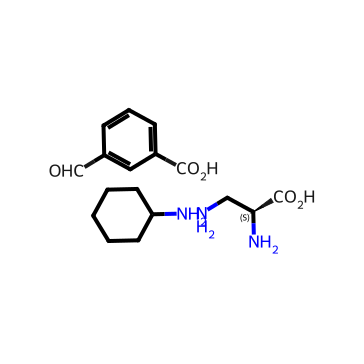 NC1CCCCC1.NC[C@H](N)C(=O)O.O=Cc1cccc(C(=O)O)c1